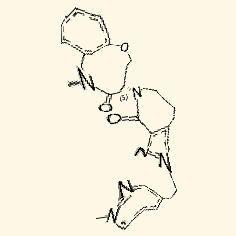 CN1C(=O)[C@@H](N2CCc3cn(Cc4ccn(C)n4)nc3C2=O)COc2ccccc21